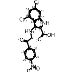 O=C(CNc1c(C(=O)O)[nH]c2cc(Cl)cc(Cl)c12)c1ccc([N+](=O)[O-])cc1